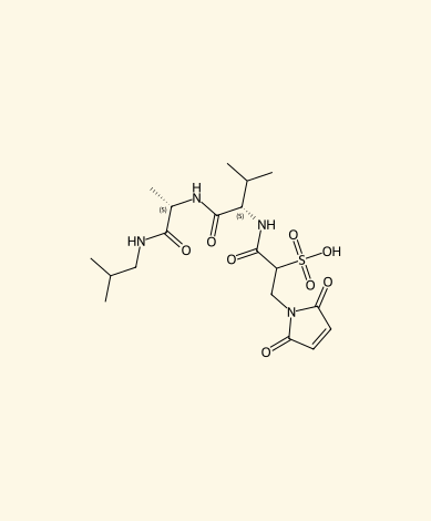 CC(C)CNC(=O)[C@H](C)NC(=O)[C@@H](NC(=O)C(CN1C(=O)C=CC1=O)S(=O)(=O)O)C(C)C